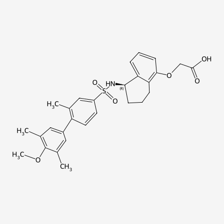 COc1c(C)cc(-c2ccc(S(=O)(=O)N[C@@H]3CCCc4c(OCC(=O)O)cccc43)cc2C)cc1C